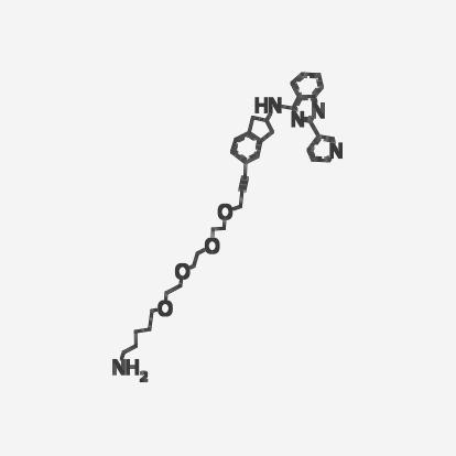 NCCCCCOCCOCCOCCOCC#Cc1ccc2c(c1)CC(Nc1nc(-c3cccnc3)nc3ccccc13)C2